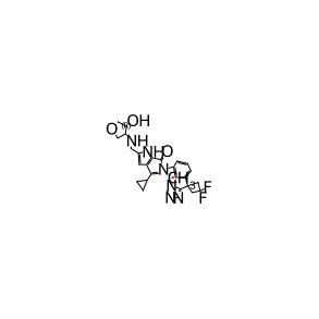 Cn1cnnc1C1(c2cccc(-n3cc(C4CC4)c4cc(CNC5COC[C@@H]5O)[nH]c4c3=O)c2)CC(F)(F)C1